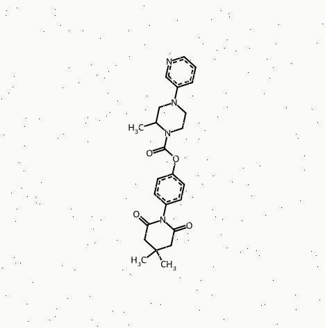 CC1CN(c2cccnc2)CCN1C(=O)Oc1ccc(N2C(=O)CC(C)(C)CC2=O)cc1